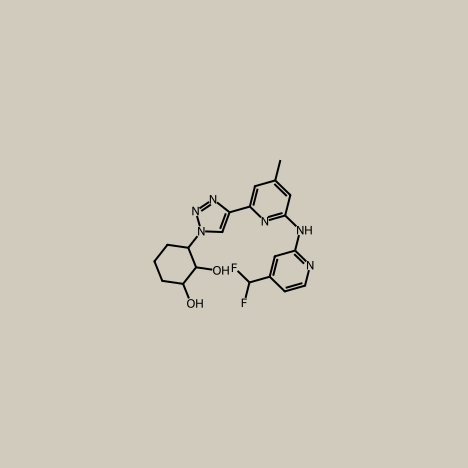 Cc1cc(Nc2cc(C(F)F)ccn2)nc(-c2cn(C3CCCC(O)C3O)nn2)c1